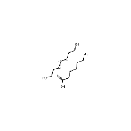 CCCCCCC(=O)O.OCCONOCCO